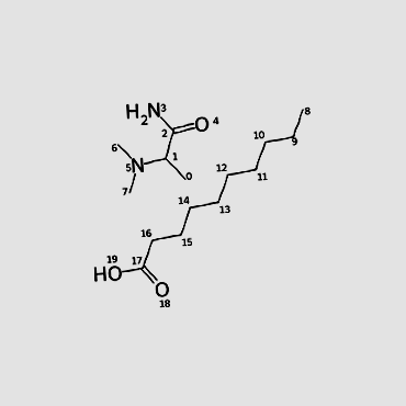 CC(C(N)=O)N(C)C.CCCCCCCCCC(=O)O